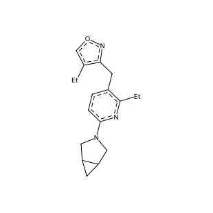 CCc1conc1Cc1ccc(N2CC3CC3C2)nc1CC